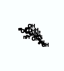 C=COC1=CC(O)OC([C@@H](CCC)NC(=O)[C@]2(N)CSC(/C(C)=N/O)=N2)=C1